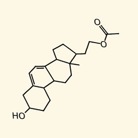 CC(=O)OCCC1CCC2C3=CC=C4CC(O)CCC4C3CCC12C